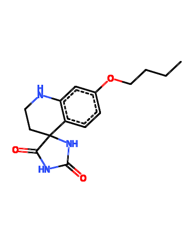 CCCCOc1ccc2c(c1)NCCC21NC(=O)NC1=O